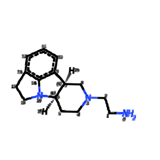 NCCN1CC[C@@H]2[C@H](C1)c1cccc3c1N2CC3